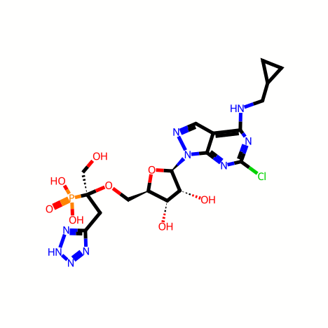 O=P(O)(O)[C@](CO)(Cc1nn[nH]n1)OC[C@H]1O[C@@H](n2ncc3c(NCC4CC4)nc(Cl)nc32)[C@H](O)[C@@H]1O